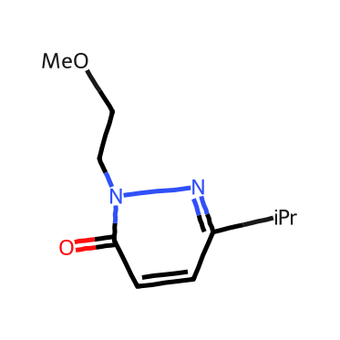 COCCn1nc(C(C)C)ccc1=O